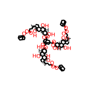 C[C@H](CCC(=O)OCOC1C2CC3CC(C2)CC1C3)[C@H]1CCC2C3C(C[C@H](O)[C@@]21C)[C@@]1(C)CC[C@@](O)(OC(=O)C24CC5CC(C(=O)O[C@]6(O)CC[C@]7(C)C8C[C@H](O)[C@@]9(C)C(CC[C@@H]9[C@H](C)CCC(=O)OCOC9C%10CC%11CC(C%10)CC9C%11)C8[C@H](O)C[C@@H]7C6)(C2)CC(C(=O)O[C@]2(O)CC[C@]6(C)C7C[C@H](O)[C@@]8(C)C(CC[C@@H]8[C@H](C)CCC(=O)OCOC8C9CC%10CC(C9)CC8C%10)C7[C@H](O)C[C@@H]6C2)(C5)C4)C[C@H]1C[C@H]3O